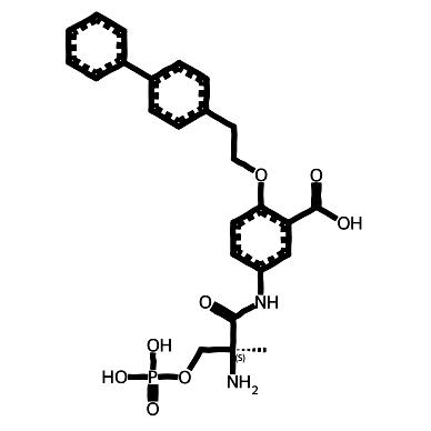 C[C@](N)(COP(=O)(O)O)C(=O)Nc1ccc(OCCc2ccc(-c3ccccc3)cc2)c(C(=O)O)c1